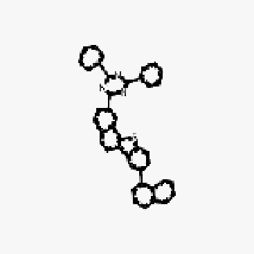 c1ccc(-c2nc(-c3ccccc3)nc(-c3ccc4ccc5c6cc(-c7cccc8ccccc78)ccc6sc5c4c3)n2)cc1